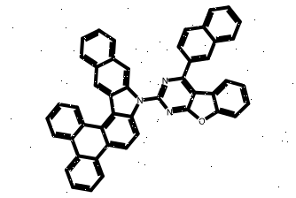 c1ccc2cc(-c3nc(-n4c5cc6ccccc6cc5c5c6c7ccccc7c7ccccc7c6ccc54)nc4oc5ccccc5c34)ccc2c1